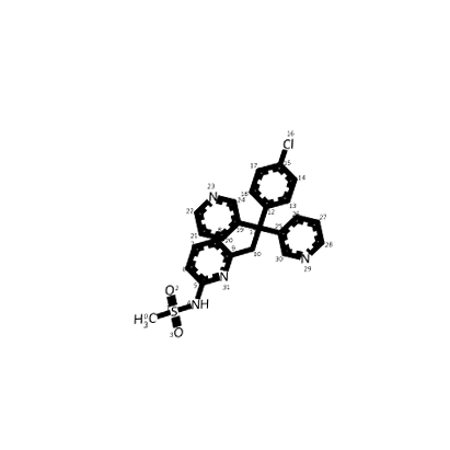 CS(=O)(=O)Nc1cccc(CC(c2ccc(Cl)cc2)(c2cccnc2)c2cccnc2)n1